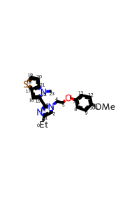 CCc1cn(CCOc2ccc(OC)cc2)c(-c2cc3sccc3n2C)n1